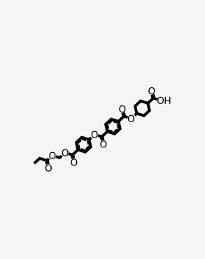 CCC(=O)OCOC(=O)c1ccc(OC(=O)c2ccc(C(=O)OC3CCC(C(=O)O)CC3)cc2)cc1